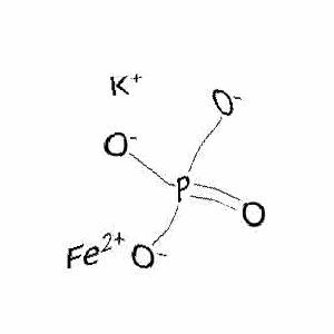 O=P([O-])([O-])[O-].[Fe+2].[K+]